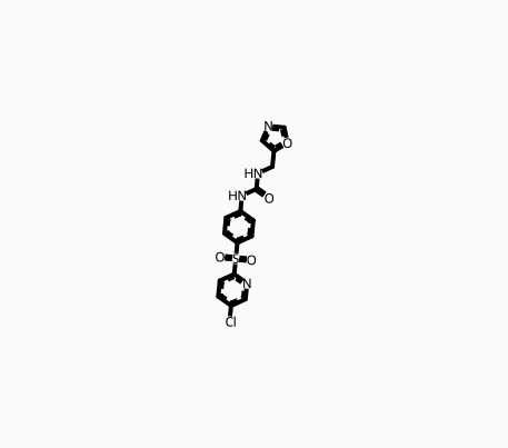 O=C(NCc1cnco1)Nc1ccc(S(=O)(=O)c2ccc(Cl)cn2)cc1